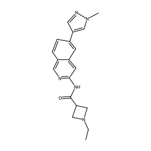 CCN1CC(C(=O)Nc2cc3cc(-c4cnn(C)c4)ccc3cn2)C1